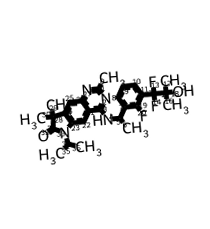 Cc1nc(NC(C)c2cccc(C(F)(F)C(C)(C)O)c2F)c2cc3c(cc2n1)C(C)(C)C(=O)N3C(C)C